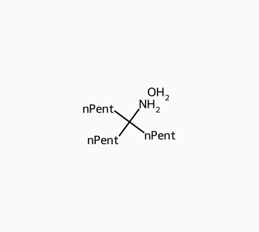 CCCCCC(N)(CCCCC)CCCCC.O